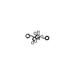 O=c1cc(CC2=CCCC=C2)c2c(=O)[nH]c(OCc3ccccc3)nc2o1